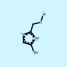 CC(C)OCc1ncc(C(C)(C)C)[nH]1